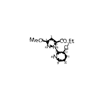 CCOC(=O)c1cc(OC)nn1-c1ncccc1Cl